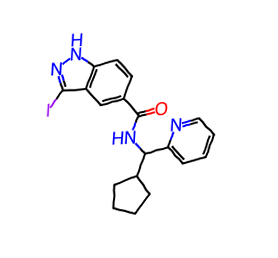 O=C(NC(c1ccccn1)C1CCCC1)c1ccc2[nH]nc(I)c2c1